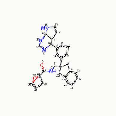 O=C(NCC1(c2cccc(C3N=CN=C4NC=CC43)c2)Cc2ccccc2C1)c1ccco1